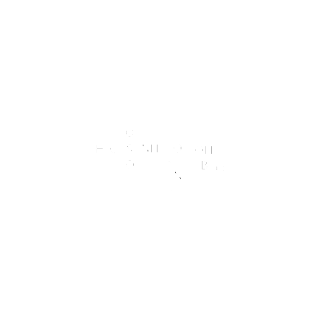 CS(=O)(=O)NCC(=O)N1CCCC1B(O)O